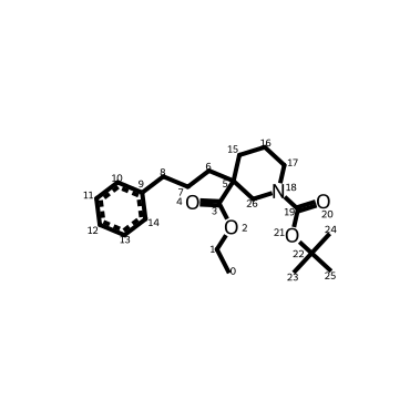 CCOC(=O)C1(CCCc2ccccc2)CCCN(C(=O)OC(C)(C)C)C1